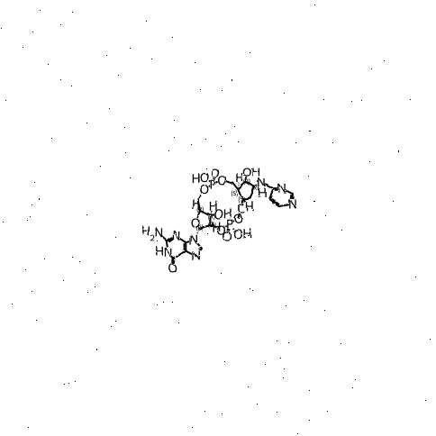 Nc1nc2c(ncn2[C@@H]2O[C@@H]3COP(=O)(O)OC[C@@H]4[C@@H](COP(=O)(O)O[C@@H]2[C@@H]3O)C[C@@H](Nc2ccncn2)[C@@H]4O)c(=O)[nH]1